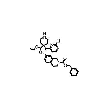 CCOC(=O)C1(C(Oc2ccc3c(c2)CN(C(=O)OCc2ccccc2)CC3)c2ccnc(Cl)n2)CCNCC1